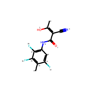 CC(O)=C(C#N)C(=O)Nc1cc(F)c(C)c(F)c1F